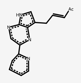 CC(=O)/C=C/Cc1c[nH]c2ncc(-c3ccccn3)nc12